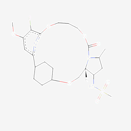 COc1cc2nc(c1F)OCCCOC(=O)N1C(C)CC(NS(C)(=O)=O)[C@@H]1COC1CCC2CC1